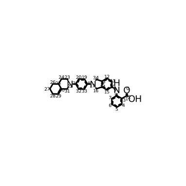 O=C(O)c1ccccc1Nc1ccc2c(c1)CN(c1ccc(N3CCC4CCCC=C4C3)cc1)C2